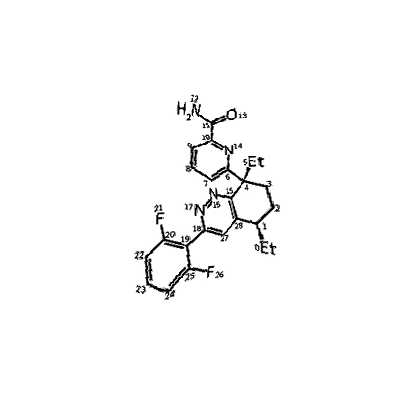 CC[C@@H]1CC[C@@](CC)(c2cccc(C(N)=O)n2)c2nnc(-c3c(F)cccc3F)cc21